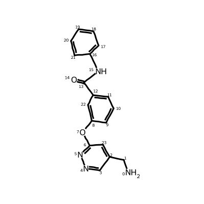 NCc1cnnc(Oc2cccc(C(=O)Nc3ccccc3)c2)c1